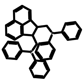 c1ccc(P(CC2c3cccc4cccc(c34)C2CP(c2ccccc2)c2ccccc2)c2ccccc2)cc1